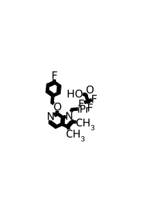 Cc1c(C)n(CC(C)C)c2c(OCc3ccc(F)cc3)nccc12.O=C(O)C(F)(F)F